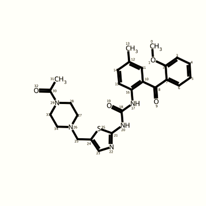 COc1ccccc1C(=O)c1cc(C)ccc1NC(=O)Nc1ncc(CN2CCN(C(C)=O)CC2)s1